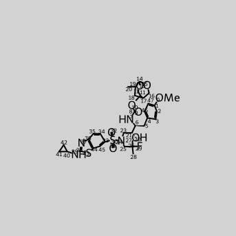 COc1ccc(C[C@H](NC(=O)OC2COC3OCC2CC3C)[C@H](O)CN(CC(C)(C)F)S(=O)(=O)c2ccc3nc(NC4CC4)sc3c2)cc1